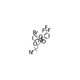 CC(C)(C#N)CC1CN(S(=O)(=O)c2cccc(C(F)(F)F)c2)c2cc(Br)ccc2O1